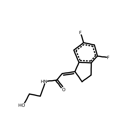 O=C(C=C1CCc2c(F)cc(F)cc21)NCCO